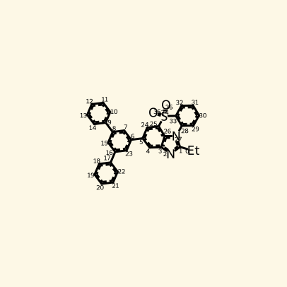 CCc1nc2cc(-c3cc(-c4ccccc4)cc(-c4ccccc4)c3)cc3c2n1-c1ccccc1S3(=O)=O